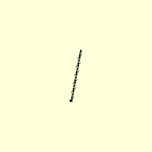 CCCOCCOCCOCCOCCOCCOCCOCCOCCOCCOCCOCCC(C)(C)C